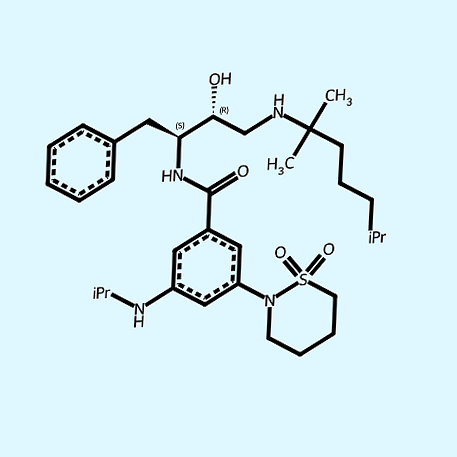 CC(C)CCCC(C)(C)NC[C@@H](O)[C@H](Cc1ccccc1)NC(=O)c1cc(NC(C)C)cc(N2CCCCS2(=O)=O)c1